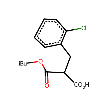 CCC(C)OC(=O)C(Cc1ccccc1Cl)C(=O)O